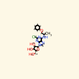 CC(COc1ccccc1)Nc1nc(Cl)nc2c1ncn2[C@@H]1O[C@H](CO)[C@@H](O)[C@H]1O